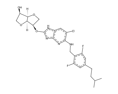 CC(C)CCc1cc(F)c(CNc2nc3nc(O[C@@H]4CO[C@H]5[C@@H]4OC[C@H]5O)[nH]c3cc2Cl)c(F)c1